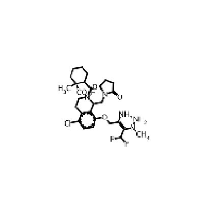 CN(N)/C(=C(\N)COc1ccc(Cl)c2c1C(CN1CCCC1=O)N(C(=O)C1CCCC[C@]1(C)C(=O)O)CC2)C(F)F